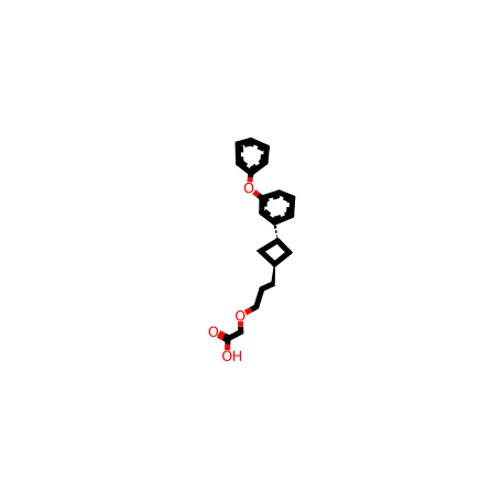 O=C(O)COCCC[C@H]1C[C@H](c2cccc(Oc3ccccc3)c2)C1